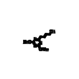 COc1nc(CCCCO)nc(OC)n1